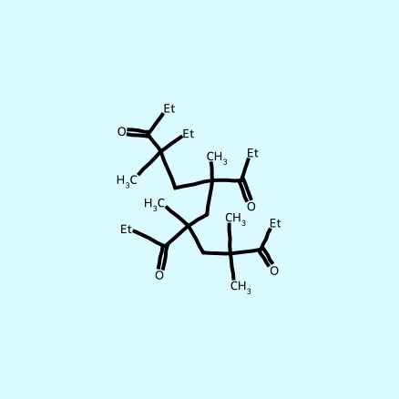 CCC(=O)C(C)(C)CC(C)(CC(C)(CC(C)(CC)C(=O)CC)C(=O)CC)C(=O)CC